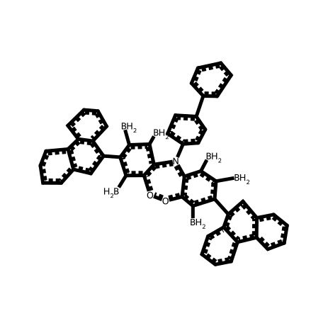 Bc1c(-c2cc3ccccc3c3ccccc23)c(B)c2ooc3c(B)c(-c4cc5ccccc5c5ccccc45)c(B)c(B)c3n(-c3ccc(-c4ccccc4)cc3)c2c1B